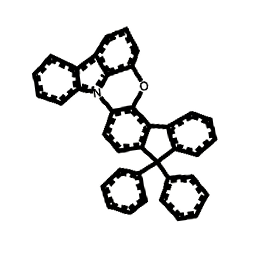 c1ccc(C2(c3ccccc3)c3ccccc3-c3c2ccc2c3Oc3cccc4c5ccccc5n-2c34)cc1